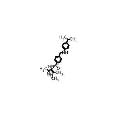 Cc1nn(C)c(C)c1N[S+]([O-])c1ccc(CNc2ccc(C(C)C)cc2)cc1